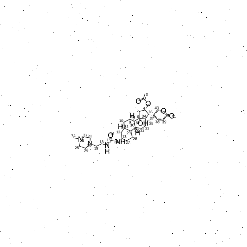 CC(=O)O[C@H]1C[C@]2(O)[C@@H]3CC[C@@H]4C[C@@H](NC(=O)NCCN5CCN(C)CC5)CC[C@]4(C)[C@H]3CC[C@]2(C)[C@H]1c1ccc(=O)oc1